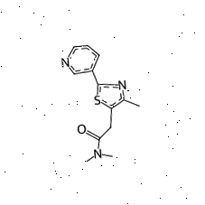 Cc1nc(-c2cccnc2)sc1CC(=O)N(C)C